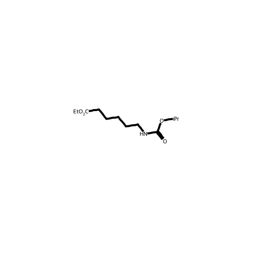 CCOC(=O)CCCCCNC(=O)OC(C)C